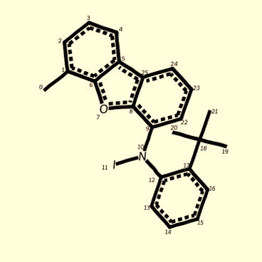 Cc1cccc2c1oc1c(N(I)c3ccccc3C(C)(C)C)cccc12